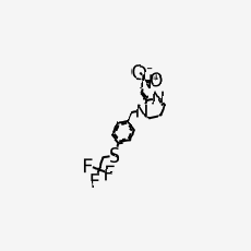 O=[N+]([O-])C=C1N=CCCN1Cc1ccc(SCC(F)(F)F)cc1